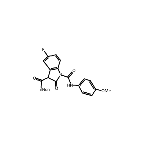 CCCCCCCCCC(=O)C1C(=O)N(C(=O)Nc2ccc(OC)cc2)c2ccc(F)cc21